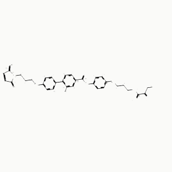 C=C(CO)C(=O)OCCCOc1ccc(OC(=O)c2ccc(-c3ccc(OCCCN4C(=O)C=CC4=O)cc3)c(C)c2)cc1